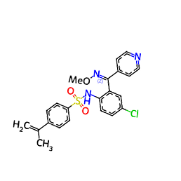 C=C(C)c1ccc(S(=O)(=O)Nc2ccc(Cl)cc2/C(=N\OC)c2ccncc2)cc1